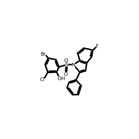 O=S(=O)(c1cc(Br)cc(Cl)c1O)n1c(-c2ccccc2)cc2cc(F)ccc21